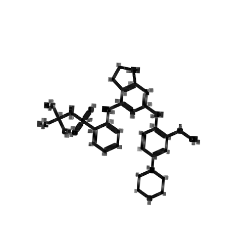 COc1cc(N2CCOCC2)ccc1Nc1nc2c(c(Nc3ccccc3S(=O)(=O)NC(C)(C)C)n1)CCN2